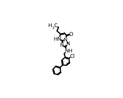 CCCc1cc(=O)n2nc(NCc3cc(-c4ccccc4)ccc3Cl)nc2[nH]1